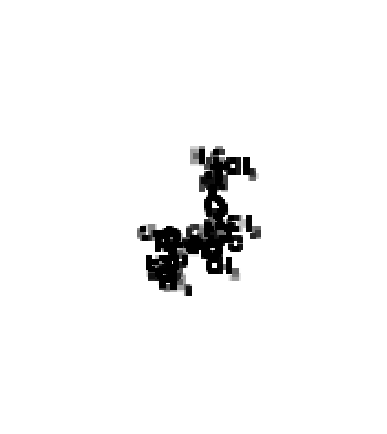 Cc1cc([C@@H](C)Nc2ccc(Cl)nc2C(=O)NS(C)(=O)=O)c2nc(N3CCC(c4ncn(C(C)C)n4)CC3)n(C)c(=O)c2c1